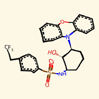 O=S(=O)(N[C@@H]1CCC[C@H](N2c3ccccc3Oc3ccccc32)[C@H]1O)c1ccc(CC(F)(F)F)cc1